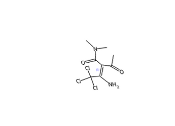 CC(=O)/C(C(=O)N(C)C)=C(\N)C(Cl)(Cl)Cl